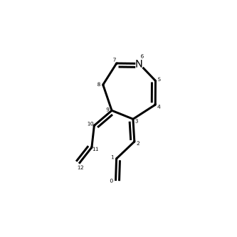 C=C/C=C1/C=CN=CC/C1=C/C=C